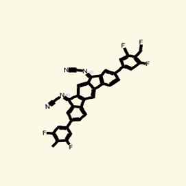 Cc1c(F)cc(-c2ccc3c(c2)/c(=N\C#N)c2cc4/c(=N\C#N)c5cc(-c6cc(F)c(CF)c(F)c6)ccc5c4cc23)cc1F